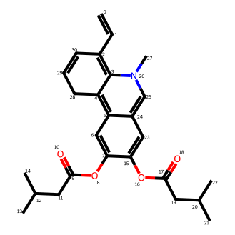 C=CC1=C2C(=c3cc(OC(=O)CC(C)C)c(OC(=O)CC(C)C)cc3=CN2C)CC=C1